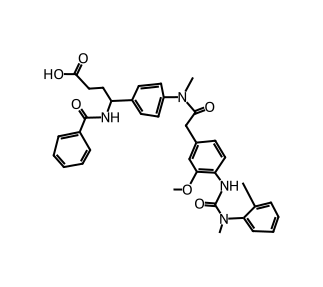 COc1cc(CC(=O)N(C)c2ccc(C(CCC(=O)O)NC(=O)c3ccccc3)cc2)ccc1NC(=O)N(C)c1ccccc1C